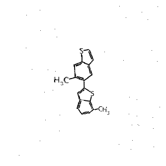 Cc1cc2sccc2cc1-c1cc2cccc(C)c2s1